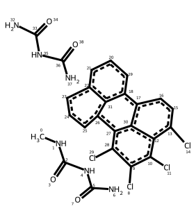 CNC(=O)NC(N)=O.Clc1c(Cl)c2c(Cl)ccc3c4cccc5cccc(c(c1Cl)c23)c54.NC(=O)NC(N)=O